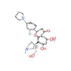 CN1CC[C@@H](c2c(O)cc(O)c3c(=O)cc(-c4ccc(N5CCCC5)cc4Cl)oc23)[C@@H]1CO